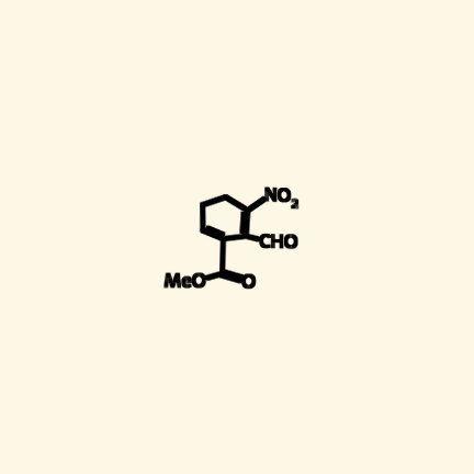 COC(=O)C1=CCCC([N+](=O)[O-])=C1C=O